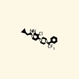 FC(F)(F)C(c1ccccc1)N1CCN(c2ccn3c(CC4CC4)nnc3c2Cl)CC1